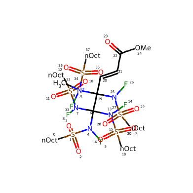 CCCCCCCCS(=O)(=O)N(F)C(N(F)S(=O)(=O)CCCCCCCC)(N(F)S(=O)(=O)CCCCCCCC)C(C=CC(=O)OC)(N(F)S(=O)(=O)CCCCCCCC)[N+](C)(F)S(=O)(=O)CCCCCCCC